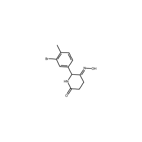 Cc1ccc(C2NC(=O)CCC2=NO)cc1Br